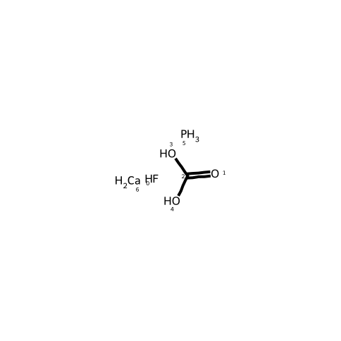 F.O=C(O)O.P.[CaH2]